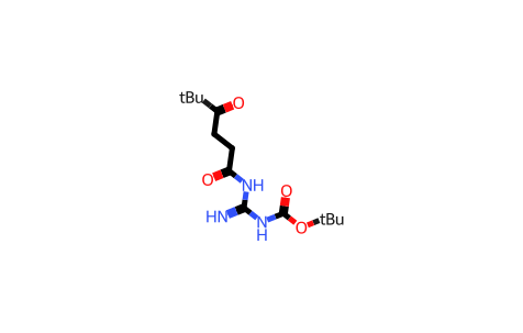 CC(C)(C)OC(=O)NC(=N)NC(=O)CCC(=O)C(C)(C)C